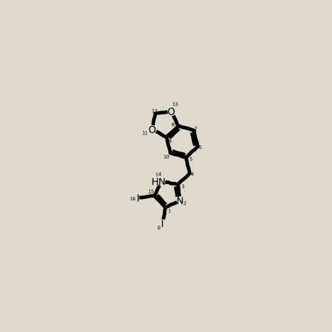 Ic1nc(Cc2ccc3c(c2)OCO3)[nH]c1I